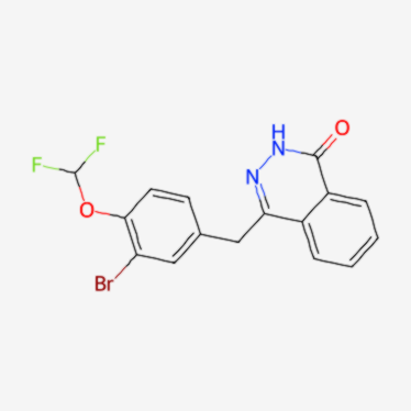 O=c1[nH]nc(Cc2ccc(OC(F)F)c(Br)c2)c2ccccc12